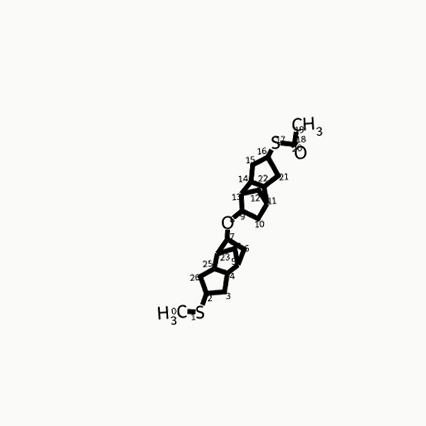 CSC1CC2C3CC(OC4CC5CC4C4CC(SC(C)=O)CC54)C(C3)C2C1